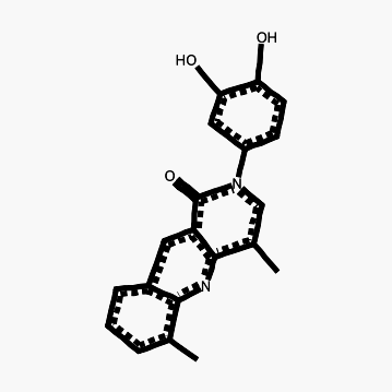 Cc1cccc2cc3c(=O)n(-c4ccc(O)c(O)c4)cc(C)c3nc12